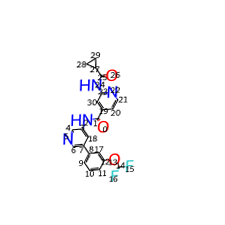 O=C(Nc1cncc(-c2cccc(OC(F)F)c2)c1)c1ccnc(NC(=O)C2CC2)c1